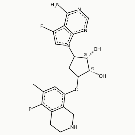 Cc1cc(OC2CC(n3cc(F)c4c(N)ncnc43)[C@H](O)[C@@H]2O)c2c(c1F)CCNC2